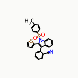 Cc1ccc(S(=O)(=O)n2c(-c3cccs3)c(-c3ccccc3C#N)c3ccccc32)cc1